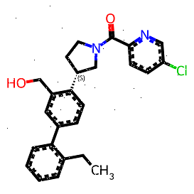 CCc1ccccc1-c1ccc([C@@H]2CCN(C(=O)c3ccc(Cl)cn3)C2)c(CO)c1